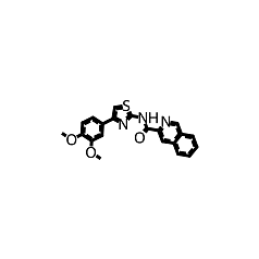 COc1ccc(-c2csc(NC(=O)c3cc4ccccc4cn3)n2)cc1OC